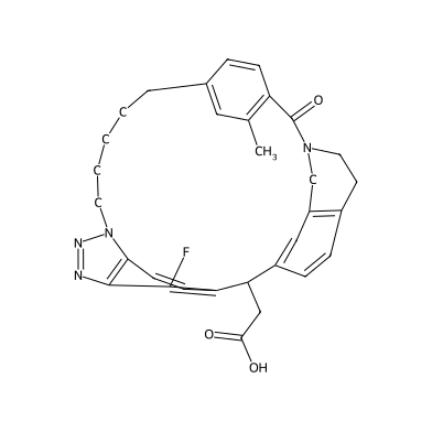 Cc1cc2ccc1C(=O)N1CCc3ccc(cc3C1)C(CC(=O)O)c1ccc3c(nnn3CCCCC2)c1F